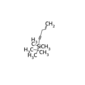 C=CCC#C[Si](C)(C)C(C)(C)C